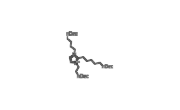 CCCCCCCCCCCCCCCc1n(CCCCCCCCCCCCCC)cc[n+]1CCCCCCCCCCCC